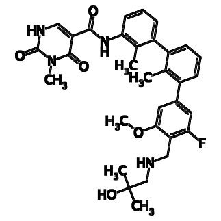 COc1cc(-c2cccc(-c3cccc(NC(=O)c4c[nH]c(=O)n(C)c4=O)c3C)c2C)cc(F)c1CNCC(C)(C)O